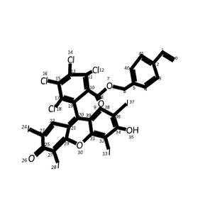 C=Cc1ccc(COC(=O)c2c(Cl)c(Cl)c(Cl)c(Cl)c2-c2c3cc(I)c(=O)c(I)c-3oc3c(I)c(O)c(I)cc23)cc1